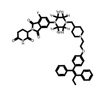 [2H]C1([2H])N(CC2CCN(CCOc3ccc(C(=C(CC)c4ccccc4)c4ccccc4)cc3)CC2)C([2H])([2H])C([2H])([2H])N(c2cc(F)c3c(c2)C(=O)N(C2CCC(=O)NC2=O)C3=O)C1([2H])[2H]